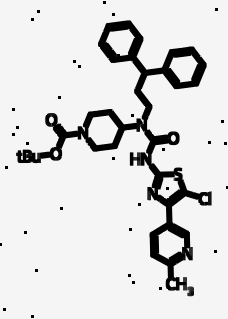 Cc1ccc(-c2nc(NC(=O)N(CCC(c3ccccc3)c3ccccc3)C3CCN(C(=O)OC(C)(C)C)CC3)sc2Cl)cn1